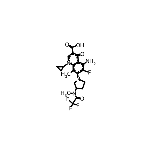 Cc1c(N2CCC(N(C)C(=O)C(F)(F)F)C2)c(F)c(N)c2c(=O)c(C(=O)O)cn(C3CC3)c12